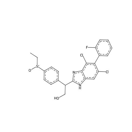 CC[S+]([O-])c1ccc(C(CO)c2nc3c(Cl)c(-c4ccccc4F)c(Cl)cc3[nH]2)cc1